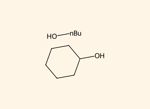 CCCCO.OC1CCCCC1